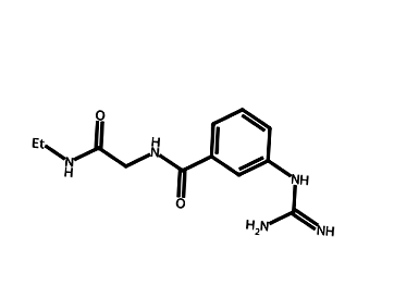 [CH2]CNC(=O)CNC(=O)c1cccc(NC(=N)N)c1